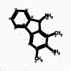 Cc1cc2c(c(C)c1N)C(N)c1ccccc1-2